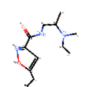 CCc1cc(C(=O)NCC(C)N(C)CC)no1